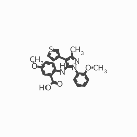 COc1ccc(Nc2c(-c3ccsc3)c(C)nn2-c2ccccc2OC)c(C(=O)O)c1